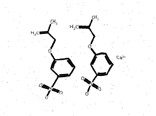 C=C(C)COc1cccc(S(=O)(=O)[O-])c1.C=C(C)COc1cccc(S(=O)(=O)[O-])c1.[Ca+2]